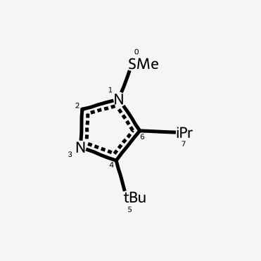 CSn1cnc(C(C)(C)C)c1C(C)C